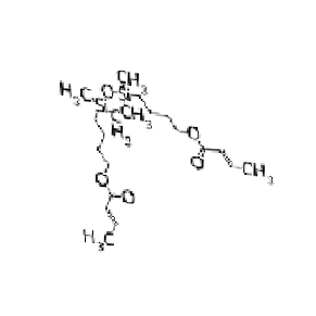 CC=CC(=O)OCCCC[Si](C)(C)O[Si](C)(C)CCCCOC(=O)C=CC